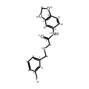 O=C(CSCc1cccc(F)c1)Nc1ccc2c(c1)OCO2